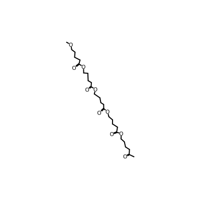 COCCCCC(=O)OCCCCC(=O)OCCCCC(=O)OCCCCC(=O)OCCCCC(C)=O